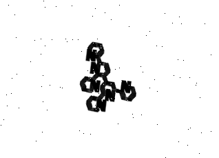 c1ccc(-c2cc(-c3ccc(-c4ccccn4)nc3-c3ccccn3)cc(-c3ccccn3)n2)nc1